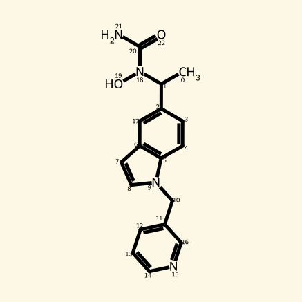 CC(c1ccc2c(ccn2Cc2cccnc2)c1)N(O)C(N)=O